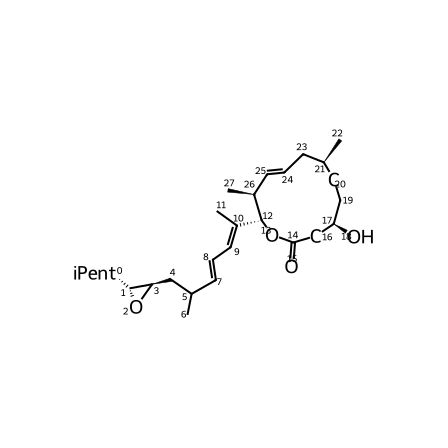 CCC[C@@H](C)[C@H]1O[C@@H]1CC(C)/C=C/C=C(\C)[C@H]1OC(=O)C[C@H](O)CC[C@H](C)C/C=C/[C@@H]1C